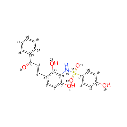 O=C(/C=C/c1ccc(O)c(NS(=O)(=O)c2ccc(O)cc2)c1O)c1ccccc1